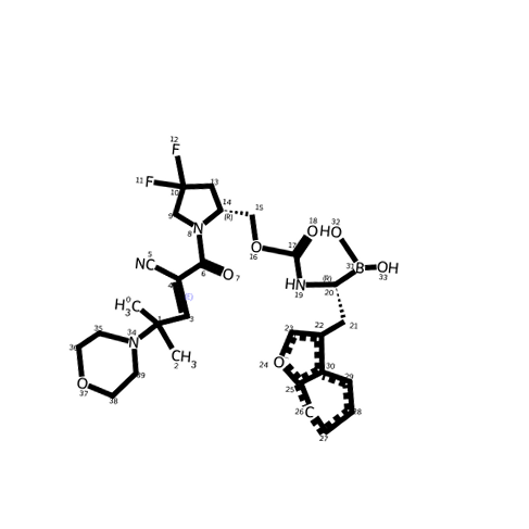 CC(C)(/C=C(\C#N)C(=O)N1CC(F)(F)C[C@@H]1COC(=O)N[C@@H](Cc1coc2ccccc12)B(O)O)N1CCOCC1